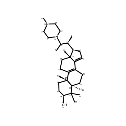 CC([C@@H](C)[C@H]1CC=C2C3=C(CC[C@@]21C)[C@@]1(C)CC[C@H](O)C(C)(C)[C@@H]1CC3)N1CCN(C)CC1